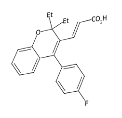 CCC1(CC)Oc2ccccc2C(c2ccc(F)cc2)=C1C=CC(=O)O